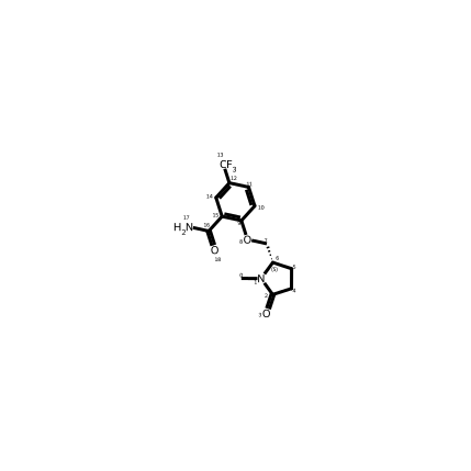 CN1C(=O)CC[C@H]1COc1ccc(C(F)(F)F)cc1C(N)=O